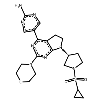 Nc1ncc(-c2nc(N3CCOCC3)nc3c2CCN3[C@H]2CCN(S(=O)(=O)C3CC3)C2)cn1